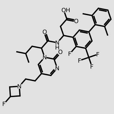 Cc1cccc(C)c1-c1cc(C(CC(=O)O)NC(=O)C(CC(C)C)n2cc(CCN3CC(F)C3)cnc2=O)c(F)c(C(F)(F)F)c1